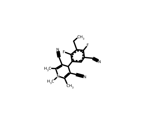 CCc1c(F)c(C#N)cc(C2C(C#N)=C(C)N(C)C(C)=C2C#N)c1F